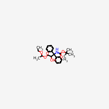 CCOC(C)OC(=O)C(O)C(NC(=O)OC(C)(C)C)(c1ccccc1)c1ccccc1